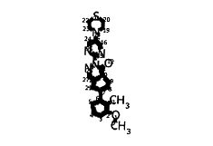 COc1cccc(-c2ccc3c(=O)n(-c4ncc(N5CCSCC5)cn4)ncc3c2)c1C